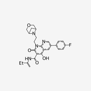 C=C(CC)NC(=O)c1c(O)c2cc(-c3ccc(F)cc3)cnc2n(CCN2C3COCC2C3)c1=O